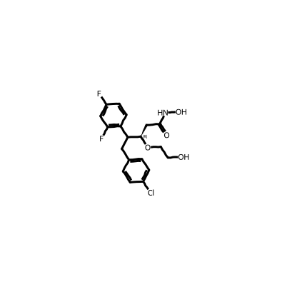 O=C(C[C@@H](OCCO)C(Cc1ccc(Cl)cc1)c1ccc(F)cc1F)NO